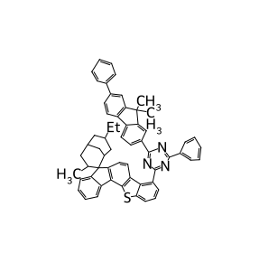 CCC1CC2CC(C)C3(c4ccccc4-c4c3ccc3c4sc4cccc(-c5nc(-c6ccccc6)nc(-c6ccc7c(c6)C(C)(C)c6cc(-c8ccccc8)ccc6-7)n5)c43)C(C1)C2